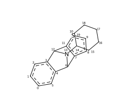 c1ccc2c(c1)C1c3ccsc3C2N1C1CCCCC1